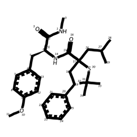 CNC(=O)[C@H](Cc1ccc(OC)cc1)NC(=O)C(CCc1ccccc1)(CC(C)C)SC(C)(C)C